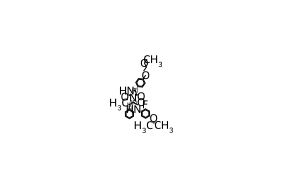 COCCOc1ccc([C@H]2NC(=O)N([C@H](C(=O)Nc3ccc(OC(C)C)cc3F)[C@@H](C)c3ccccc3)C2=O)cc1